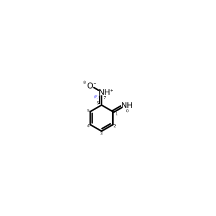 N=C1C=CC=C/C1=[NH+]\[O-]